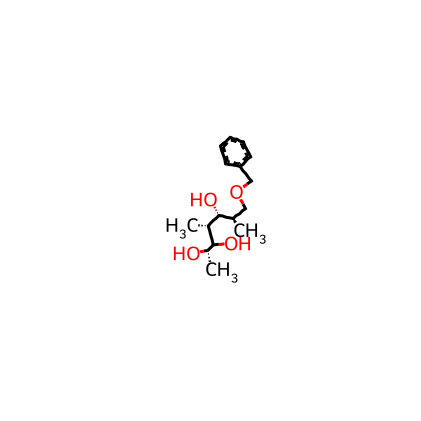 C[C@H](O)C(O)[C@H](C)[C@H](O)[C@H](C)COCc1ccccc1